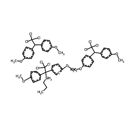 CCC[SiH2]C(c1ccc(OC)cc1)(c1ccc(OC)cc1)C(Cl)(Cl)Cl.COc1ccc(C(c2ccc(OC)cc2)C(Cl)(Cl)Cl)cc1.COc1ccc(C(c2ccc(OC)cc2)C(Cl)(Cl)Cl)cc1